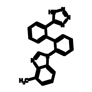 Cc1cccc2c1ncn2-c1ccccc1-c1ccccc1-c1nnn[nH]1